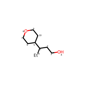 CCC(CCO)C1CCOCC1